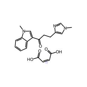 Cn1cnc(CCC(=O)c2cn(C)c3ccccc23)c1.O=C(O)/C=C\C(=O)O